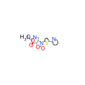 CCOC(=O)[C@@H]1OC(=O)N(c2ccc(-c3ccccn3)s2)C1CN